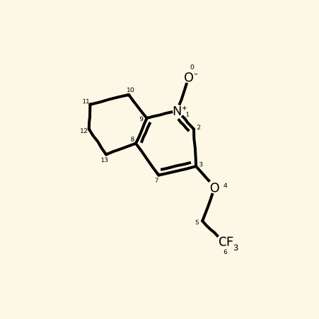 [O-][n+]1cc(OCC(F)(F)F)cc2c1CCCC2